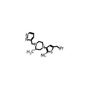 CC(C)Cc1cc(N2CCN(Cc3cccnn3)[C@@H](C)C2)c(C#N)s1